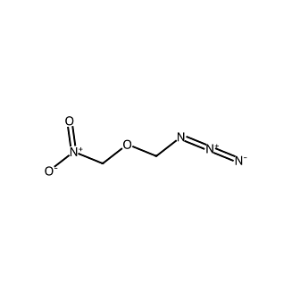 [N-]=[N+]=NCOC[N+](=O)[O-]